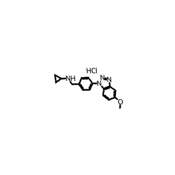 COc1ccc2c(c1)nnn2-c1ccc(CNC2CC2)cc1.Cl